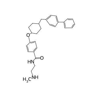 CNCCNC(=O)c1ccc(OC2CCC(Cc3ccc(-c4ccccc4)cc3)CC2)cc1